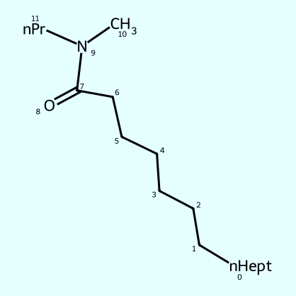 CCCCCCCCCCCCCC(=O)N(C)CCC